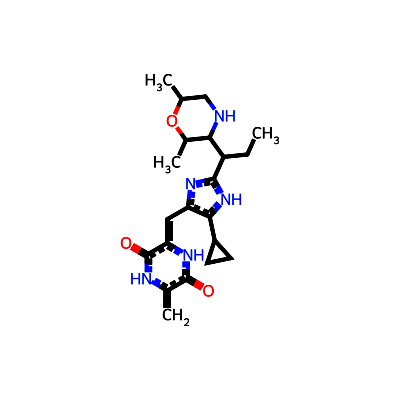 C=c1[nH]c(=O)c(=Cc2nc(C(CC)C3NCC(C)OC3C)[nH]c2C2CC2)[nH]c1=O